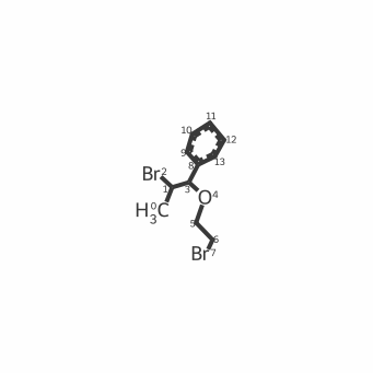 CC(Br)C(OCCBr)c1ccccc1